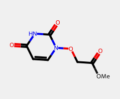 COC(=O)COn1ccc(=O)[nH]c1=O